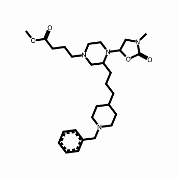 COC(=O)CCCN1CCN(C2CN(C)C(=O)O2)C(CCCC2CCN(Cc3ccccc3)CC2)C1